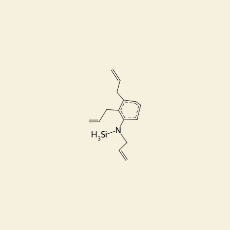 C=CCc1cccc(N([SiH3])CC=C)c1CC=C